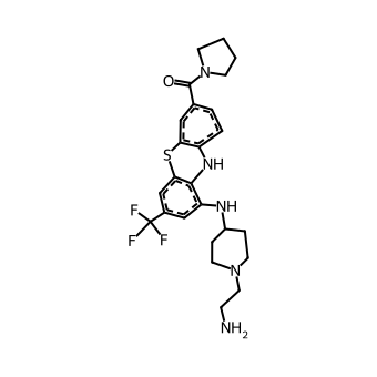 NCCN1CCC(Nc2cc(C(F)(F)F)cc3c2Nc2ccc(C(=O)N4CCCC4)cc2S3)CC1